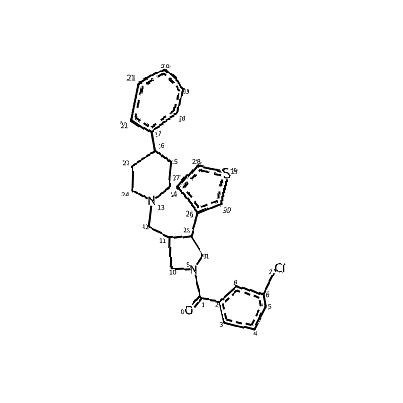 O=C(c1cccc(Cl)c1)N1CC(CN2CCC(c3ccccc3)CC2)C(c2ccsc2)C1